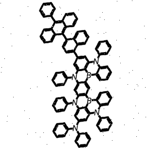 c1ccc(-c2c3ccccc3c(-c3ccc(-c4cc5c6c(c4)N(c4ccccc4)c4cc7c(cc4B6c4ccccc4N5c4ccccc4)B4c5ccccc5N(c5ccccc5)c5cc(N(c6ccccc6)c6ccccc6)cc(c54)N7c4ccccc4)c4ccccc34)c3ccccc23)cc1